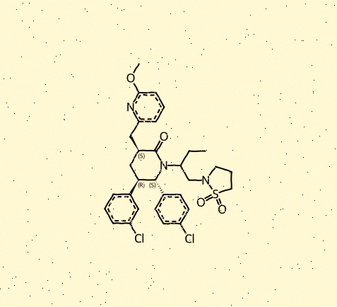 CCC(CN1CCCS1(=O)=O)N1C(=O)[C@H](Cc2cccc(OC)n2)C[C@H](c2cccc(Cl)c2)[C@H]1c1ccc(Cl)cc1